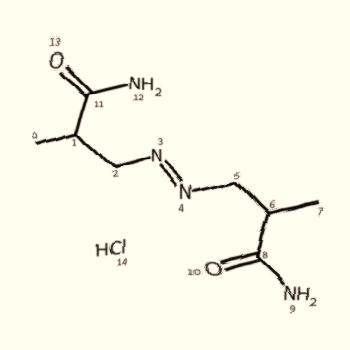 CC(CN=NCC(C)C(N)=O)C(N)=O.Cl